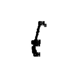 CCCCCCCCCCCCCCNC(=O)NCCOc1ccc(O)cc1